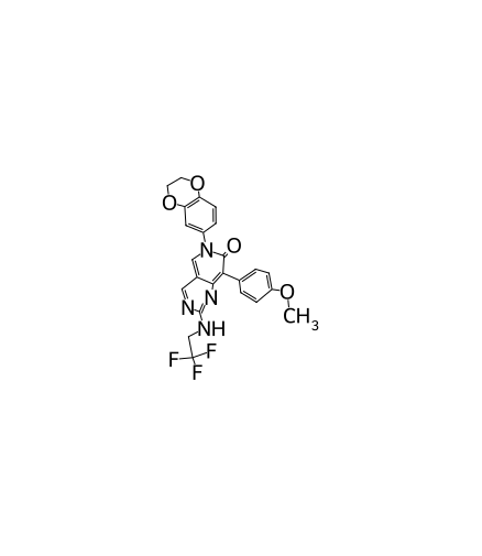 COc1ccc(-c2c(=O)n(-c3ccc4c(c3)OCCO4)cc3cnc(NCC(F)(F)F)nc23)cc1